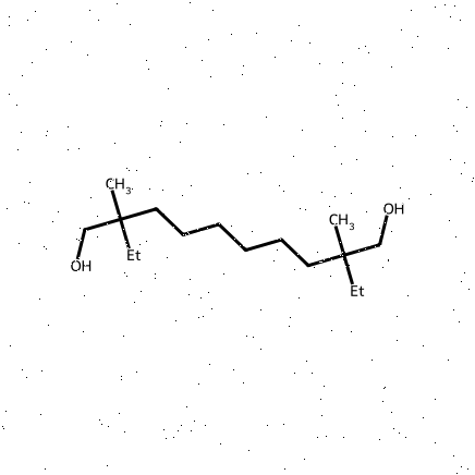 CCC(C)(CO)CCCCCCC(C)(CC)CO